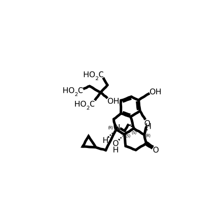 O=C(O)CC(O)(CC(=O)O)C(=O)O.O=C1CC[C@@]2(O)[C@H]3Cc4ccc(O)c5c4[C@@]2(CCN3CC2CC2)[C@H]1O5